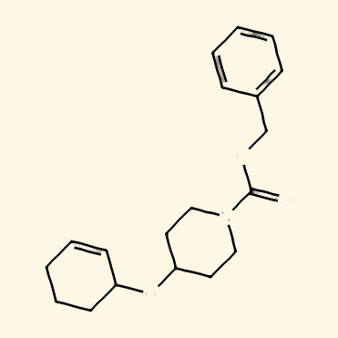 O=C(OCc1ccccc1)N1CCC(OC2C=CCCC2)CC1